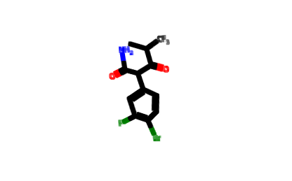 CC(C(=O)C(C(N)=O)c1ccc(Br)c(F)c1)C(F)(F)F